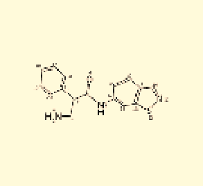 NCC(C(=O)Nc1ccc2cnsc2c1)c1ccccc1